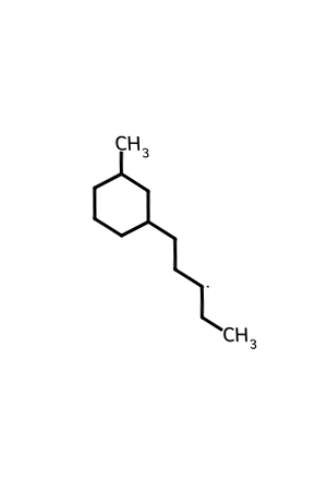 CC[CH]CCC1CCCC(C)C1